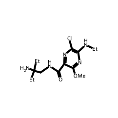 CCNc1nc(OC)c(C(=O)NCC(N)(CC)CC)nc1Cl